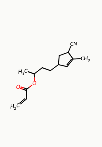 C=CC(=O)OC(C)CCC1C=C(C)C(C#N)C1